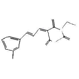 CCN1C(=O)NC(=O)/C(=C\C=C\c2cccc(F)c2)C1=O